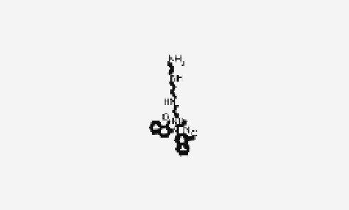 CC(=Nc1ccc2ccccc2c1C=O)C(=Nc1ccc2ccccc2c1C=O)NCCCNCCCCNCCCN